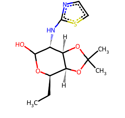 CC[C@H]1OC(O)[C@H](Nc2nccs2)[C@H]2OC(C)(C)O[C@H]21